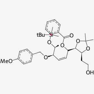 COc1ccc(CO[C@H](/C=C\C(OC(=O)c2ccccc2)[C@H]2OC(C)(C)O[C@H]2CCO)[C@H](C)O[Si](C)(C)C(C)(C)C)cc1